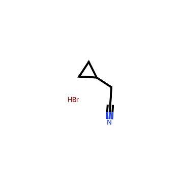 Br.N#CCC1CC1